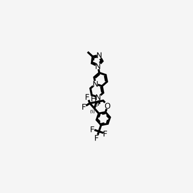 Cc1cn(C2=CN3CCN(C[C@@]45c6cc(C(F)(F)F)ccc6OC[C@@H]4C5(F)F)C=C3C=C2)cn1